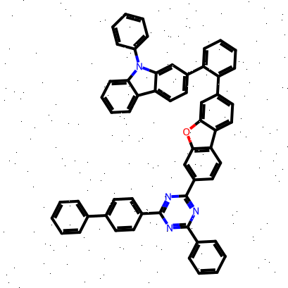 c1ccc(-c2ccc(-c3nc(-c4ccccc4)nc(-c4ccc5c(c4)oc4cc(-c6ccccc6-c6ccc7c8ccccc8n(-c8ccccc8)c7c6)ccc45)n3)cc2)cc1